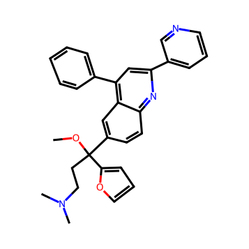 COC(CCN(C)C)(c1ccc2nc(-c3cccnc3)cc(-c3ccccc3)c2c1)c1ccco1